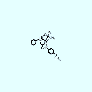 COc1ccc(CO[C@H]2[C@@H]3OC(C)(C)OC[C@H]3N(Cc3ccccc3)C[C@H]2O)cc1